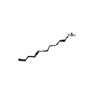 C=CCC=CCCCC=CCCCC